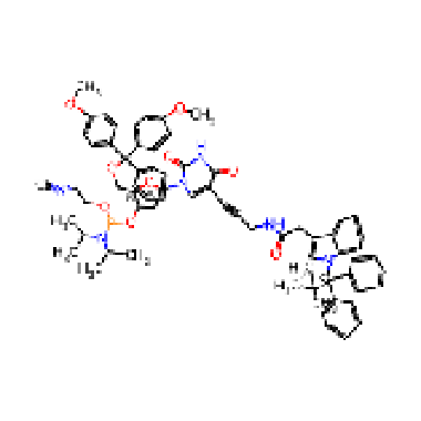 [C-]#[N+]CCOP(OC1C[C@H](n2cc(C#CCNC(=O)Cc3cn([Si](c4ccccc4)(c4ccccc4)C(C)(C)C)c4ccccc34)c(=O)[nH]c2=O)O[C@@H]1COC(c1ccccc1)(c1ccc(OC)cc1)c1ccc(OC)cc1)N(C(C)C)C(C)C